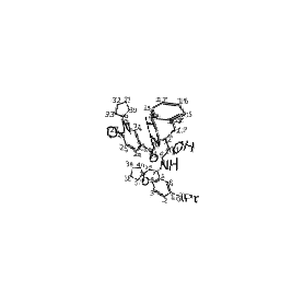 CC(C)c1ccc2c(c1)[C@@H](NC[C@@H](O)[C@H](Cc1ccccc1)NC(=O)c1ccc(=O)n(C3CCCC3)c1)CC1(CCCC1)O2